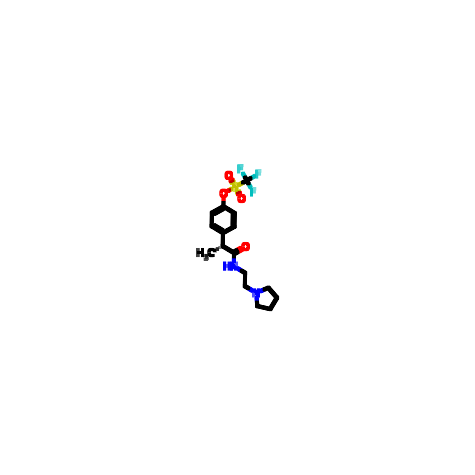 C[C@@H](C(=O)NCCN1CCCC1)c1ccc(OS(=O)(=O)C(F)(F)F)cc1